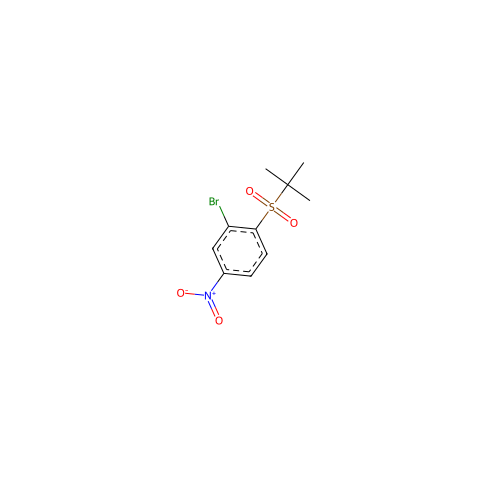 CC(C)(C)S(=O)(=O)c1ccc([N+](=O)[O-])cc1Br